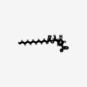 CCCCCCCCCCCC(=O)OC(C)c1nc([N+](=O)[O-])c[nH]1